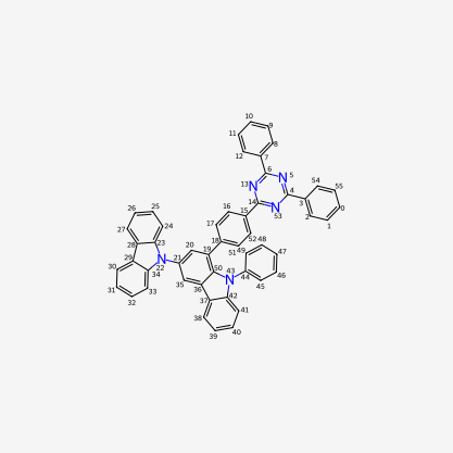 c1ccc(-c2nc(-c3ccccc3)nc(-c3ccc(-c4cc(-n5c6ccccc6c6ccccc65)cc5c6ccccc6n(-c6ccccc6)c45)cc3)n2)cc1